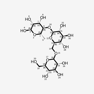 C[C@@H]1O[C@@H](O)[C@H](O)[C@H](O)[C@H]1O[C@@H]1O[C@H](COC2O[C@H](CO)[C@@H](O)[C@H](O)[C@H]2O)[C@@H](O)[C@H](O)[C@H]1O